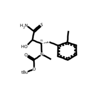 Cc1ccccc1C[C@@H](C(O)C(N)=S)N(C)C(=O)OC(C)(C)C